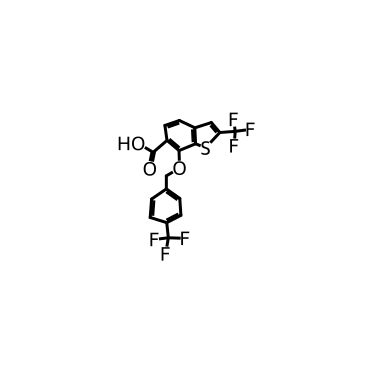 O=C(O)c1ccc2cc(C(F)(F)F)sc2c1OCc1ccc(C(F)(F)F)cc1